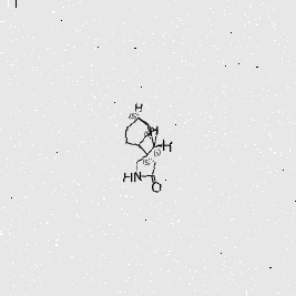 O=C1C[C@]2(CN1)C1CC[C@H]3C[C@@H]1[C@@H]2C3